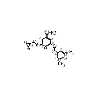 O=Cc1cc(OCc2cc(C(F)(F)F)cc(C(F)(F)F)c2)cc(OCC2CC2)c1